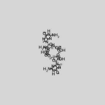 Nc1nc2c(ncn2[C@@H]2O[C@@H]3COP(=O)(O)CO[C@@H]4C(COP(=O)(O)O[C@H]3[C@H]2N)O[C@@H](n2cnc3c(=O)[nH]c(N)nc32)[C@@H]4O)c(=O)[nH]1